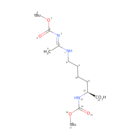 C/C(=N\C(=O)OC(C)(C)C)NCCCC[C@H](NC(=O)OC(C)(C)C)C(=O)O